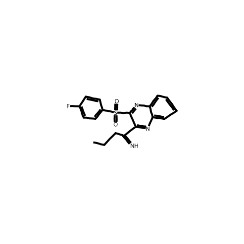 CCCC(=N)c1nc2ccccc2nc1S(=O)(=O)c1ccc(F)cc1